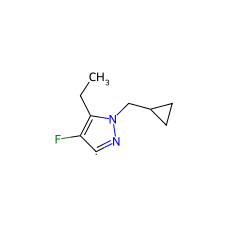 CCc1c(F)[c]nn1CC1CC1